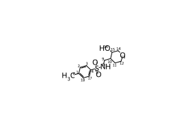 Cc1ccc(S(=O)(=O)NCC2CCOCC2O)cc1